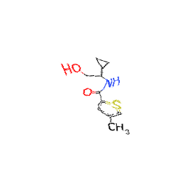 Cc1csc(C(=O)NC(CO)C2CC2)c1